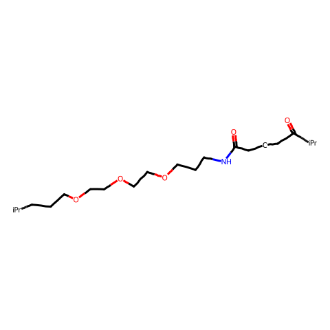 CC(C)CCCOCCOCCOCCCNC(=O)CCCC(=O)C(C)C